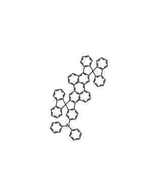 c1ccc(N(c2ccccc2)c2ccc3c(c2)C2(c4ccccc4-c4ccccc42)c2cc4c5cccc6c7c(cc(c8cccc(c2-3)c84)c65)C2(c3ccccc3-c3ccccc32)c2ccccc2-7)cc1